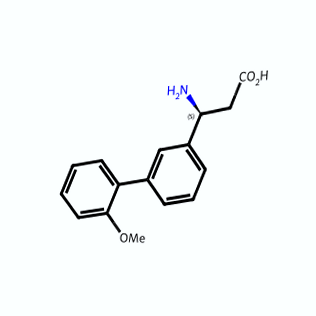 COc1ccccc1-c1cccc([C@@H](N)CC(=O)O)c1